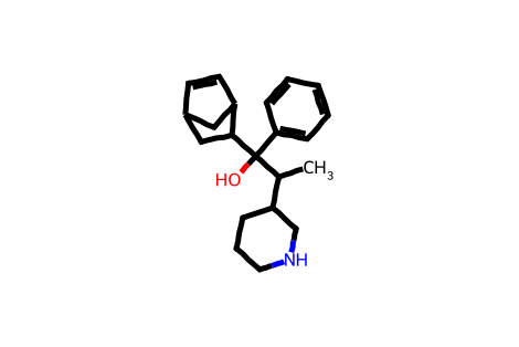 CC(C1CCCNC1)C(O)(c1ccccc1)C1CC2C=CC1C2